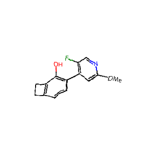 COc1cc(-c2ccc3c(c2O)CC3)c(F)cn1